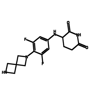 O=C1CCC(Nc2cc(F)c(N3CC4(CNC4)C3)c(F)c2)C(=O)N1